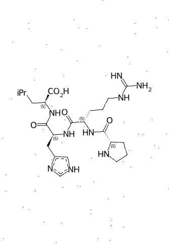 CC(C)C[C@H](NC(=O)[C@H](Cc1c[nH]cn1)NC(=O)[C@H](CCCNC(=N)N)NC(=O)[C@@H]1CCCN1)C(=O)O